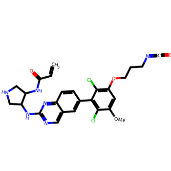 C=CC(=O)NC1CNCC1Nc1ncc2cc(-c3c(Cl)c(OC)cc(OCCCN=C=O)c3Cl)ccc2n1